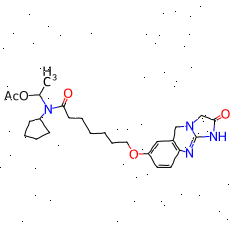 CC(=O)OC(C)N(C(=O)CCCCCCOc1ccc2c(c1)CN1CC(=O)NC1=N2)C1CCCC1